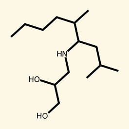 CCCCC(C)C(CC(C)C)NCC(O)CO